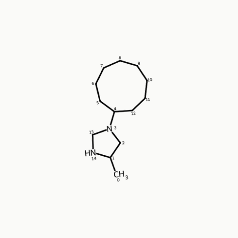 CC1CN(C2CCCCCCCC2)CN1